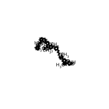 Cc1c(OC2CCC(CCCCN3CCN(c4ccc5c(C6CCC(=O)NC6=O)nn(C)c5c4)C[C@@H]3C)CC2)cccc1-c1ccc(N2CCc3cccc(C(=O)Nc4nc5ccccc5s4)c3C2)nc1C(=O)OC(C)(C)C